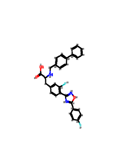 O=C(O)C(Cc1ccc(-c2noc(-c3ccc(F)cc3)n2)c(F)c1)NCc1ccc(-c2ccccc2)cc1